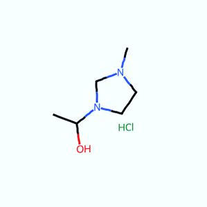 CC(O)N1CCN(C)C1.Cl